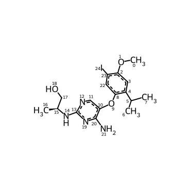 COc1cc(C(C)C)c(Oc2cnc(N[C@@H](C)CO)nc2N)cc1I